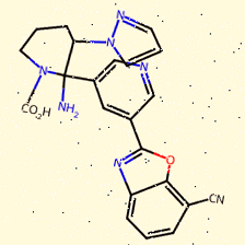 N#Cc1cccc2nc(-c3cncc(C4(N)C(n5cccn5)CCCN4C(=O)O)c3)oc12